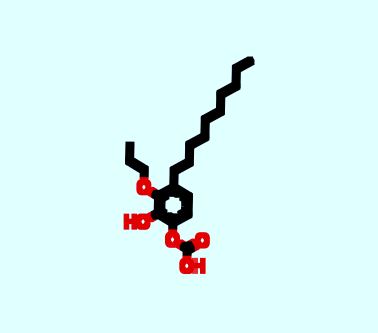 CCCCCCCCCCc1ccc(OC(=O)O)c(O)c1OCCC